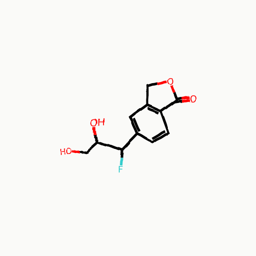 O=C1OCc2cc(C(F)C(O)CO)ccc21